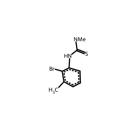 CNC(=S)Nc1cccc(C)c1Br